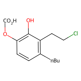 CCCCc1ccc(OC(=O)O)c(O)c1CCCl